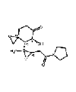 CC1([C@H]2[C@H](O)C(=O)CC[C@]23CO3)O[C@@H]1CC(=O)N1CCCC1